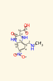 CNCc1cc([N+](=O)[O-])cc2c1NC(CC(=O)O)C(=O)N2